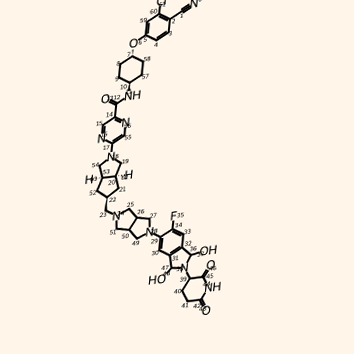 N#Cc1ccc(O[C@H]2CC[C@H](NC(=O)c3cnc(N4C[C@H]5C[C@@H](CN6CC7CN(c8cc9c(cc8F)C(O)N(C8CCC(=O)NC8=O)C9O)CC7C6)C[C@H]5C4)cn3)CC2)cc1Cl